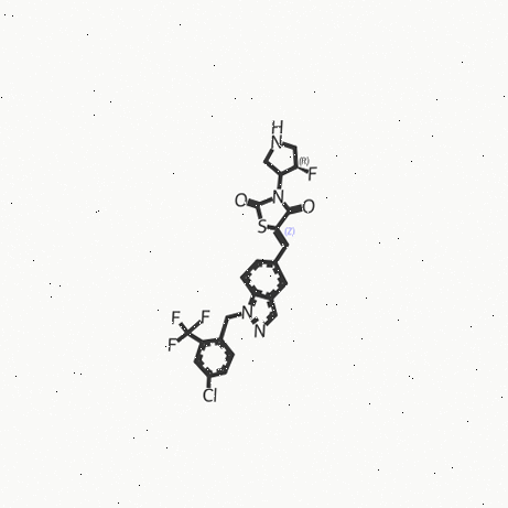 O=C1S/C(=C\c2ccc3c(cnn3Cc3ccc(Cl)cc3C(F)(F)F)c2)C(=O)N1C1CNC[C@H]1F